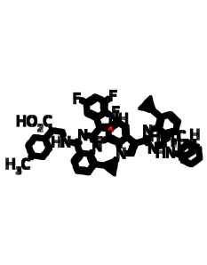 CC1CCC([C@@H](CNc2nc(-c3c[nH]c4c(F)cc(F)cc34)nc3c(C4CC4n4cc(-c5nc(N[C@@H]6C7CCC(CC7)[C@H]6C(=O)O)c6cccc(C7CC7)c6n5)c5cc(F)cc(F)c54)cccc23)C(=O)O)CC1